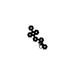 c1ccc(-c2c3ccccc3c(-c3cccc(-c4cccc5c4sc4oc6ccccc6c45)c3)c3ccccc23)cc1